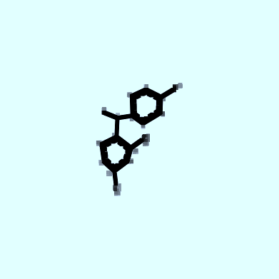 CC(c1ccc(F)cc1)c1ccc(Cl)cc1Cl